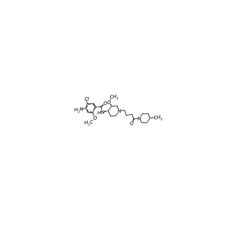 COc1cc(N)c(Cl)cc1C(=O)N[C@@H]1CCN(CCCC(=O)N2CCC(C)CC2)C[C@@H]1OC